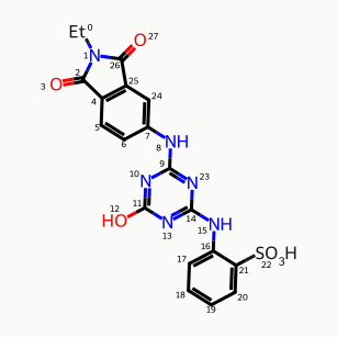 CCN1C(=O)c2ccc(Nc3nc(O)nc(Nc4ccccc4S(=O)(=O)O)n3)cc2C1=O